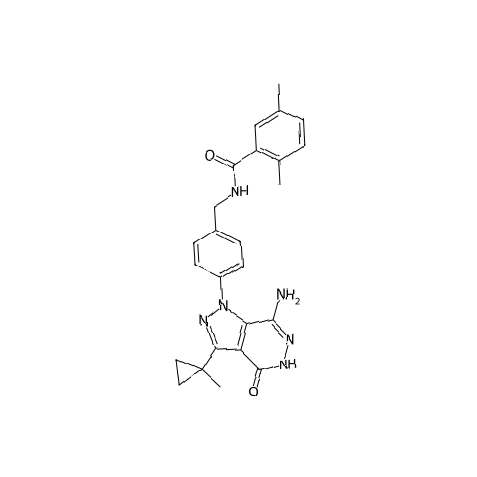 Cc1ccc(C)c(C(=O)NCc2ccc(-n3nc(C4(C)CC4)c4c(=O)[nH]nc(N)c43)cc2)c1